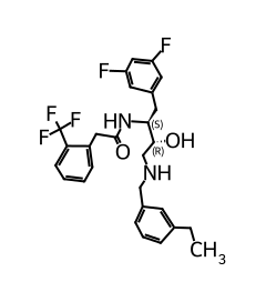 CCc1cccc(CNC[C@@H](O)[C@H](Cc2cc(F)cc(F)c2)NC(=O)Cc2ccccc2C(F)(F)F)c1